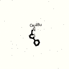 CC(C)(C)[S+]([O-])N=Cc1ccc(-c2ccccc2)s1